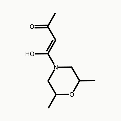 CC(=O)/C=C(\O)N1CC(C)OC(C)C1